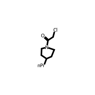 CCCC1CCN(C(=O)CCl)CC1